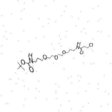 CC(C)(C)OC(=O)NCCCOCCOCCOCCCNC(=O)CCCl